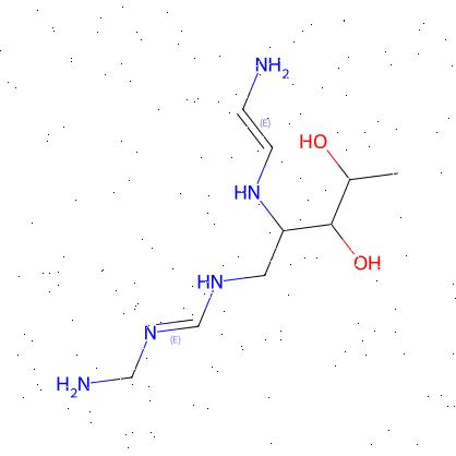 CC(O)C(O)C(CN/C=N/CN)N/C=C/N